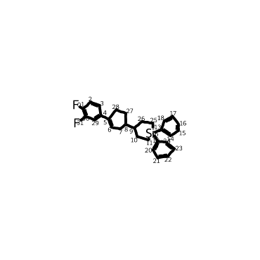 Fc1ccc(C2=CCC(C3CC[Si](c4ccccc4)(c4ccccc4)CC3)CC2)cc1F